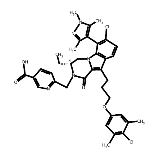 CC[C@@H]1Cn2c(c(CCCOc3cc(C)c(Cl)c(C)c3)c3ccc(Cl)c(-c4c(C)nn(C)c4C)c32)C(=O)N1Cc1ccc(C(=O)O)cn1